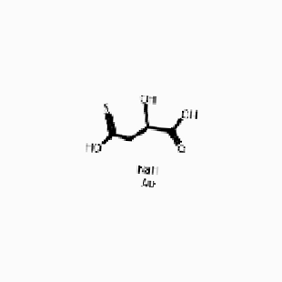 O=C(O)C(O)CC(O)=S.[Au].[NaH]